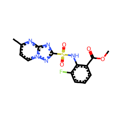 COC(=O)c1cccc(F)c1NS(=O)(=O)c1nc2nc(C)ccn2n1